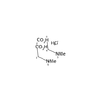 CNCC(=O)O.CNCC(=O)O.Cl